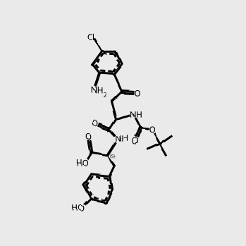 CC(C)(C)OC(=O)NC(CC(=O)c1ccc(Cl)cc1N)C(=O)N[C@@H](Cc1ccc(O)cc1)C(=O)O